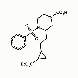 CCOC(=O)C1CC1CCC1CN(C(=O)O)CCN1S(=O)(=O)c1ccccc1